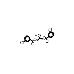 O=C(OCC(O)COC(=O)c1cccc(Cl)c1)c1cccc(Cl)c1